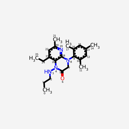 CCCNN1C(=O)CN(c2c(C)cc(C)cc2C)c2nc(C)cc(CC)c21